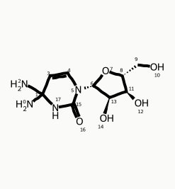 NC1(N)C=CN([C@@H]2O[C@H](CO)[C@@H](O)[C@H]2O)C(=O)N1